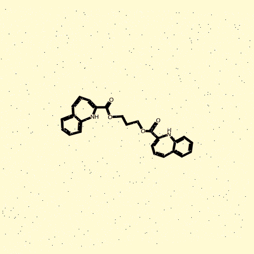 O=C(OCCCOC(=O)C1=CC=Cc2ccccc2N1)C1=CC=Cc2ccccc2N1